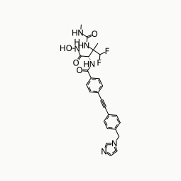 CNC(=O)NC(C)(C(F)F)[C@H](NC(=O)c1ccc(C#Cc2ccc(Cn3ccnc3)cc2)cc1)C(=O)NO